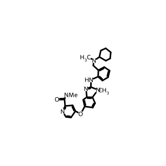 CNC(=O)c1cc(Oc2ccc3c(c2)nc(Nc2ccccc2CN(C)C2CCCCC2)n3C)ccn1